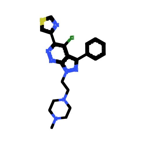 CN1CCN(CCn2nc(-c3ccccc3)c3c(Cl)c(-c4cscn4)nnc32)CC1